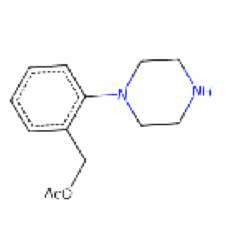 CC(=O)OCc1ccccc1N1CCNCC1